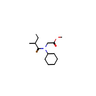 CC(=O)CC(C)C(=S)N(CC(=O)OC(C)(C)C)C1CCCCC1